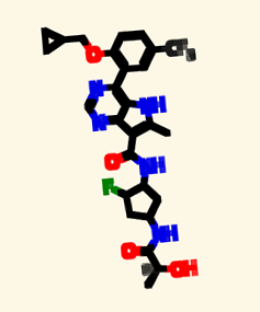 Cc1[nH]c2c(-c3cc(C(F)(F)F)ccc3OCC3CC3)ncnc2c1C(=O)NC1CC(NC(=O)[C@H](C)O)CC1F